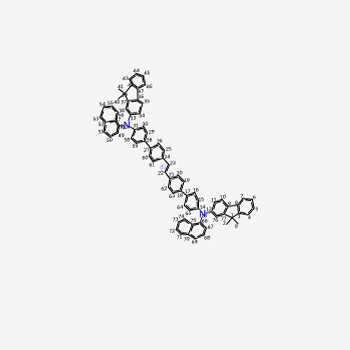 CC1(C)c2ccccc2-c2ccc(N(c3ccc(-c4ccc(/C=C/c5ccc(-c6ccc(N(c7ccc8c(c7)C(C)(C)c7ccccc7-8)c7cccc8ccccc78)cc6)cc5)cc4)cc3)c3cccc4ccccc34)cc21